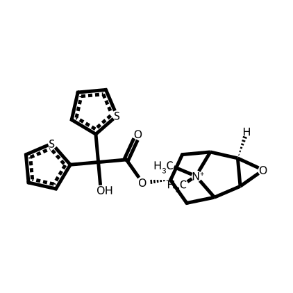 C[N+]1(C)C2C[C@H](OC(=O)C(O)(c3cccs3)c3cccs3)CC1[C@H]1OC21